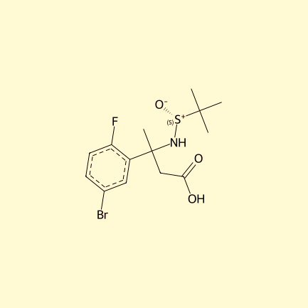 CC(CC(=O)O)(N[S@+]([O-])C(C)(C)C)c1cc(Br)ccc1F